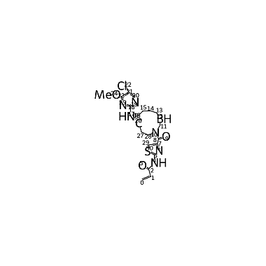 C=CC(=O)Nc1nc(C(=O)N2CBCCC[C@@H](Nc3ncc(Cl)c(OC)n3)CCC2)cs1